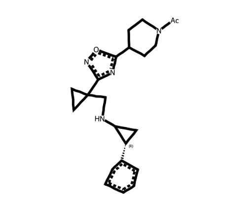 CC(=O)N1CCC(c2nc(C3(CNC4C[C@@H]4c4ccccc4)CC3)no2)CC1